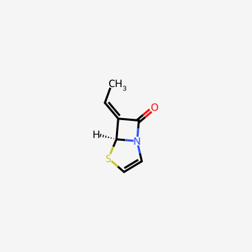 CC=C1C(=O)N2C=CS[C@@H]12